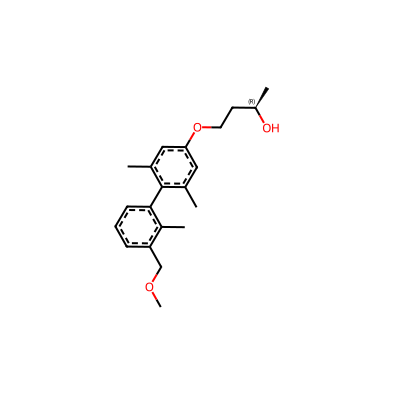 COCc1cccc(-c2c(C)cc(OCC[C@@H](C)O)cc2C)c1C